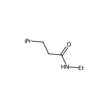 [CH2]CNC(=O)CCC(C)C